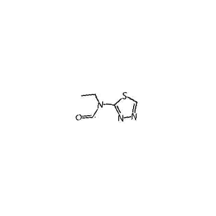 CCN([C]=O)c1nncs1